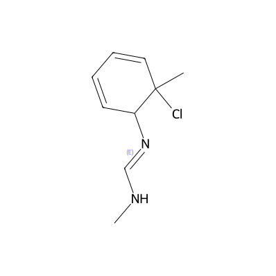 CN/C=N/C1C=CC=CC1(C)Cl